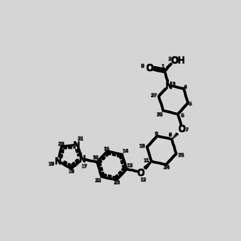 O=C(O)N1CCC(O[C@H]2CC[C@H](Oc3ccc(-n4cncn4)cc3)CC2)CC1